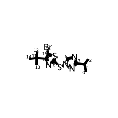 CC(C)c1ncn(Sc2nc(C(C)(C)C)c(Br)s2)n1